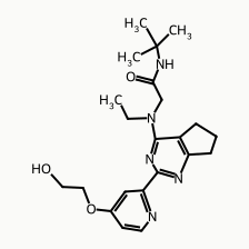 CCN(CC(=O)NC(C)(C)C)c1nc(-c2cc(OCCO)ccn2)nc2c1CCC2